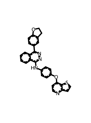 c1ccc2c(-c3ccc4c(c3)CCO4)nnc(Nc3ccc(Oc4ccnc5ccsc45)cc3)c2c1